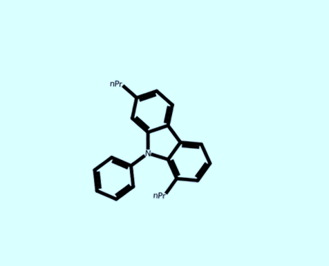 CCCc1ccc2c3cccc(CCC)c3n(-c3ccccc3)c2c1